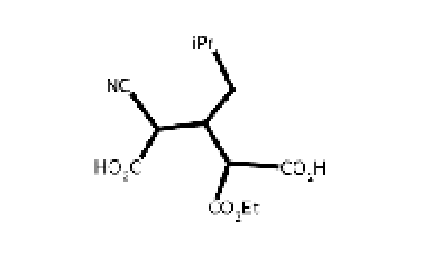 CCOC(=O)C(C(=O)O)C(CC(C)C)C(C#N)C(=O)O